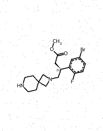 COC(=O)C[C@H](CN1CC2(CCNCC2)C1)c1cc(Br)ccc1F